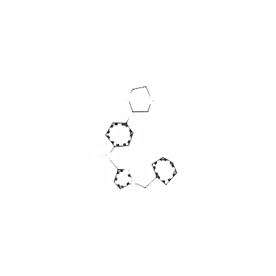 c1ccc(Cn2ccc(Nc3ccc([C@@H]4CNCCO4)cc3)n2)cc1